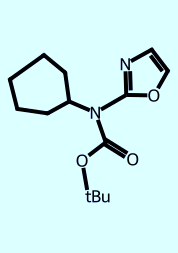 CC(C)(C)OC(=O)N(c1ncco1)C1CCCCC1